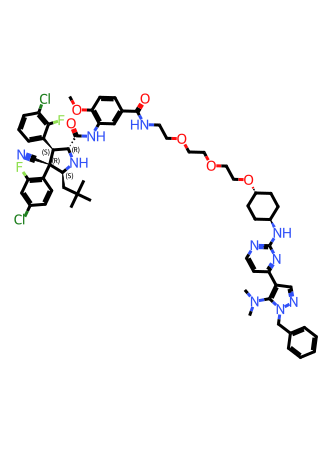 COc1ccc(C(=O)NCCOCCOCCO[C@H]2CC[C@H](Nc3nccc(-c4cnn(Cc5ccccc5)c4N(C)C)n3)CC2)cc1NC(=O)[C@@H]1N[C@@H](CC(C)(C)C)[C@](C#N)(c2ccc(Cl)cc2F)[C@H]1c1cccc(Cl)c1F